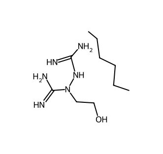 CCCCCC.N=C(N)NN(CCO)C(=N)N